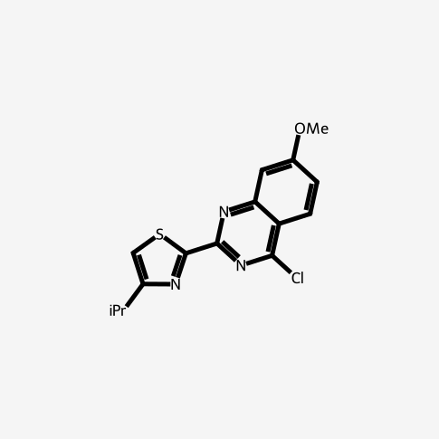 COc1ccc2c(Cl)nc(-c3nc(C(C)C)cs3)nc2c1